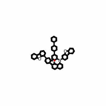 c1ccc(-c2ccc(-c3cccc(N(c4ccc5c(c4)oc4ccccc45)c4cccc5ccc6c7ccc(-c8cccc9c8oc8ccccc89)cc7sc6c45)c3)cc2)cc1